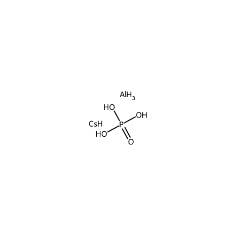 O=P(O)(O)O.[AlH3].[CsH]